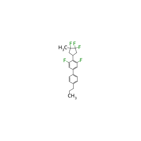 CCCc1ccc(-c2cc(F)c(C3CC(C)(F)C(F)(F)C3)c(F)c2)cc1